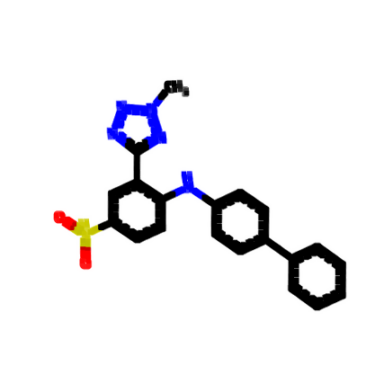 Cn1nnc(-c2cc([SH](=O)=O)ccc2Nc2ccc(-c3ccccc3)cc2)n1